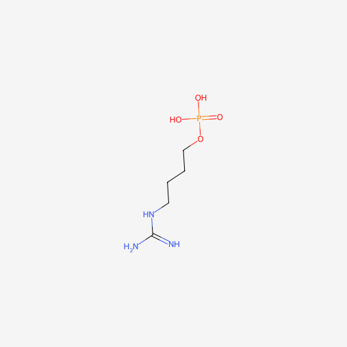 N=C(N)NCCCCOP(=O)(O)O